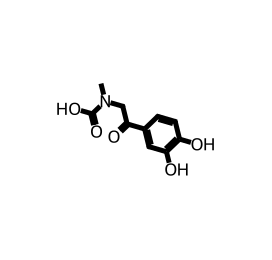 CN(CC(=O)c1ccc(O)c(O)c1)C(=O)O